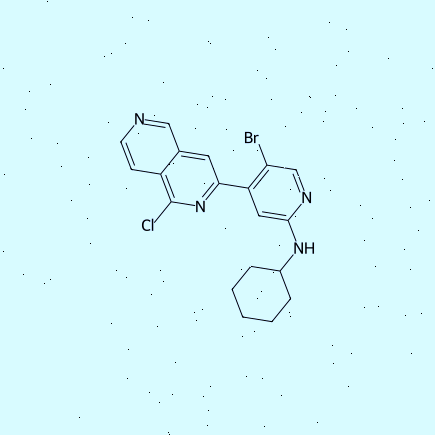 Clc1nc(-c2cc(NC3CCCCC3)ncc2Br)cc2cnccc12